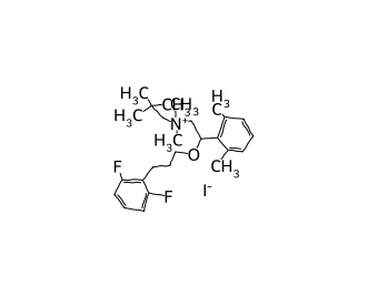 Cc1cccc(C)c1C(C[N+](C)(C)CC(C)(C)C)OCCCc1c(F)cccc1F.[I-]